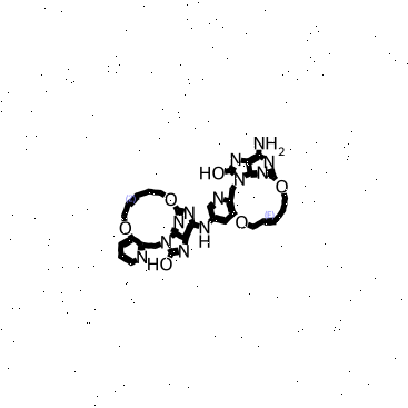 Nc1nc2nc3c1nc(O)n3Cc1ncc(Nc3nc4nc5c3nc(O)n5Cc3ncccc3OC/C=C\CCO4)cc1OC/C=C/CCO2